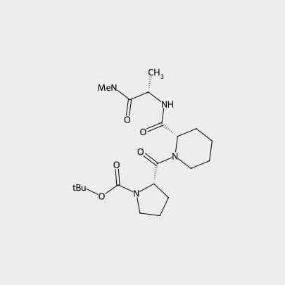 CNC(=O)[C@H](C)NC(=O)[C@@H]1CCCCN1C(=O)[C@@H]1CCCN1C(=O)OC(C)(C)C